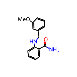 COc1cccc(CNc2ccccc2C(N)=O)c1